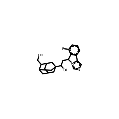 OCC1C2CC3CC1CC(C(O)CC1c4c(F)cccc4-c4cncn41)(C3)C2